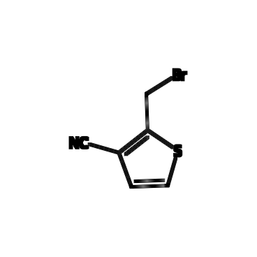 N#Cc1ccsc1CBr